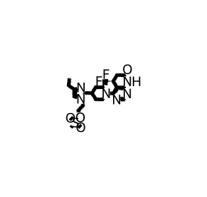 CCc1cn(CCOS(C)(=O)=O)c(C2CCN(c3ncnc4c3[C@H](C(F)(F)F)CC(=O)N4)CC2)n1